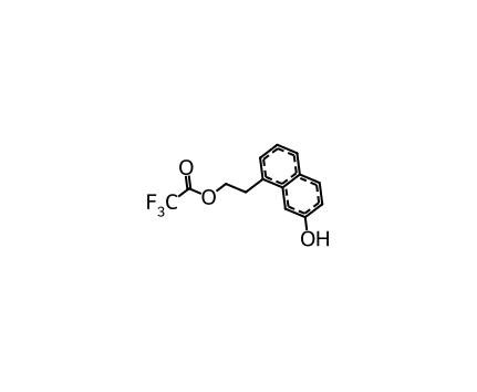 O=C(OCCc1cccc2ccc(O)cc12)C(F)(F)F